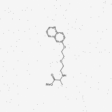 COC(=O)C(C)NCCOCCOc1ccc2ncccc2c1